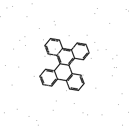 [c]1cccc2c1c1c3ccccc3c3ccccc3c1c1ccccc21